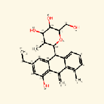 C=C1c2c(C)cccc2C(C2OC(CO)C(O)C(O)C2C)c2cc(CC)cc(O)c21